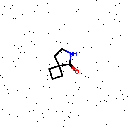 O=C1NCCC12CCC2